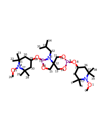 CON1C(C)(C)CC(OP2OCC3(CO2)COP(OC2CC(C)(C)N(OC)C(C)(C)C2)N3CC(C)C)CC1(C)C